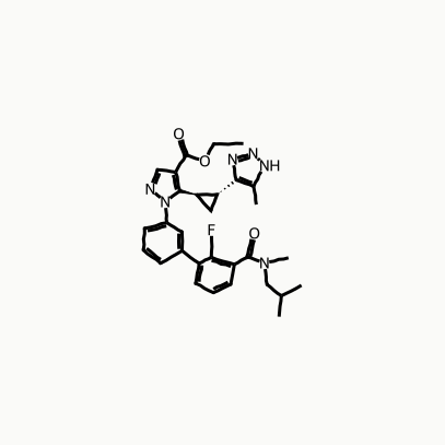 CCOC(=O)c1cnn(-c2cccc(-c3cccc(C(=O)N(C)CC(C)C)c3F)c2)c1[C@@H]1C[C@H]1c1nn[nH]c1C